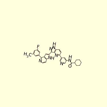 Cc1cc(F)cc(-c2nccc3[nH]c(-c4n[nH]c5ccc(-c6cncc(NC(=O)C7CCCCC7)c6)nc45)cc23)c1